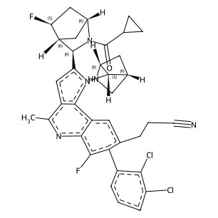 Cc1nc2c(F)c(-c3cccc(Cl)c3Cl)c(CCC#N)cc2c2c1cc([C@H]1[C@H]3C[C@H](C[C@@H]3F)N1C(=O)C1CC1)n2[C@H]1[C@H]2CN[C@@H]1C2